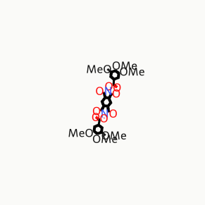 COc1cc(C(=O)On2c(=O)c3cc4c(=O)n(OC(=O)c5cc(OC)c(OC)c(OC)c5)c(=O)c4cc3c2=O)cc(OC)c1OC